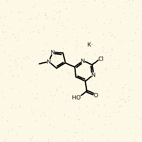 Cn1cc(-c2cc(C(=O)O)nc(Cl)n2)cn1.[K]